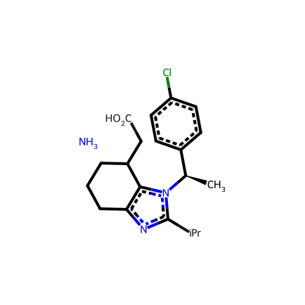 CC(C)c1nc2c(n1[C@H](C)c1ccc(Cl)cc1)C(CC(=O)O)CCC2.N